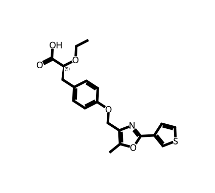 CCO[C@@H](Cc1ccc(OCc2nc(-c3ccsc3)oc2C)cc1)C(=O)O